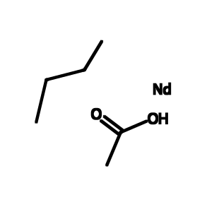 CC(=O)O.CCCC.[Nd]